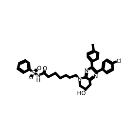 Cc1ccc(-c2nc3c(nc2-c2ccc(Cl)cc2)CC(O)CN3CCCCCCC(=O)NS(=O)(=O)c2ccccc2)cc1